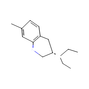 CC[SiH](CC)[C@H]1CNc2cc(C)ccc2C1